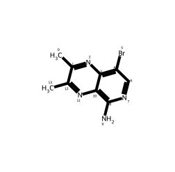 Cc1nc2c(Br)cnc(N)c2nc1C